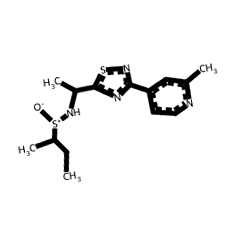 CCC(C)[S+]([O-])NC(C)c1nc(-c2ccnc(C)c2)ns1